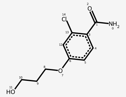 NC(=O)c1ccc(OCCCO)cc1Cl